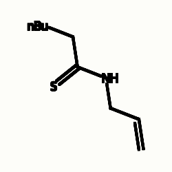 [CH2]CCCCC(=S)NCC=C